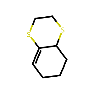 C1=C2SCCSC2CCC1